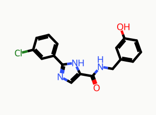 O=C(NCc1cccc(O)c1)c1cnc(-c2cccc(Cl)c2)[nH]1